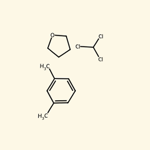 C1CCOC1.Cc1cccc(C)c1.ClC(Cl)Cl